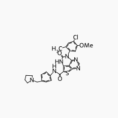 COc1cc(N2C(=O)Nc3c(C(=O)Nc4ccc(CN5CCCC5)cc4)sc4ncnc2c34)c(C)cc1Cl